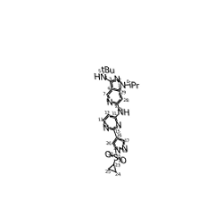 CC(C)n1nc(NC(C)(C)C)c2cnc(Nc3ccnc(-c4cnn(S(=O)(=O)C5CC5)c4)n3)cc21